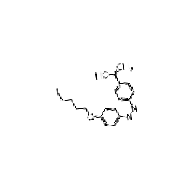 C=C(O)c1ccc(/N=N\c2ccc(OCCCCI)cc2)cc1